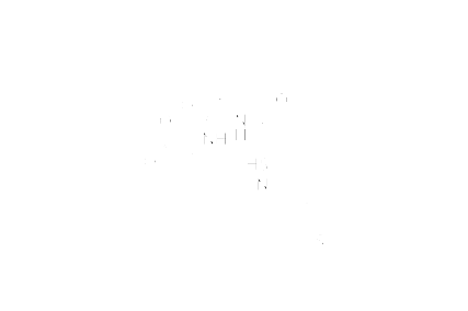 CC(C)C(S)C(=O)NC1(C(=O)NC(Cc2ccc(-c3ccsc3)nc2)C(=O)O)CCCC1